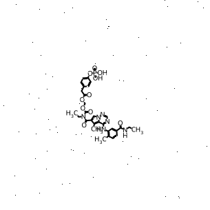 CCNC(=O)c1ccc(C)c(Nc2ncnn3cc(C(=O)N(CC)C(=O)OCOC(=O)Cc4ccc(OP(=O)(O)O)cc4)c(C)c23)c1